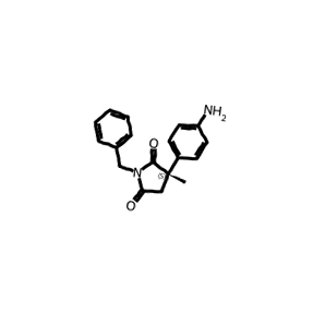 C[C@@]1(c2ccc(N)cc2)CC(=O)N(Cc2ccccc2)C1=O